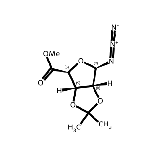 COC(=O)[C@H]1O[C@@H](N=[N+]=[N-])[C@@H]2OC(C)(C)O[C@@H]21